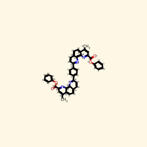 Cc1cc(C(=O)Oc2ccccc2)nc2c1ccc1ccc(-c3ccc(-c4ccc5ccc6c(C)cc(C(=O)Oc7ccccc7)nc6c5n4)cc3)nc12